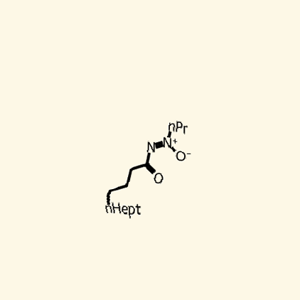 CCCCCCCCCCC(=O)N=[N+]([O-])CCC